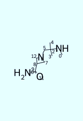 CNC(C)(C)CN1CC(C(N)=O)C1